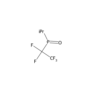 CC(C)[P](=O)C(F)(F)C(F)(F)F